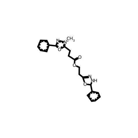 C[n+]1nc(-c2ccccc2)oc1CCC(=O)OCCC1=NNC(c2ccccc2)O1